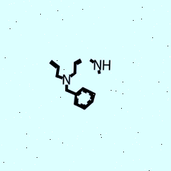 C=CCN(CC=C)Cc1ccccc1.CNC